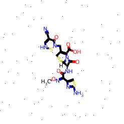 CO/N=C(\C(=O)N[C@@H]1C(=O)N2C(C(=O)O)=C(CN3SNC=C(C#N)C3=O)CS[C@H]12)c1csc(N)n1